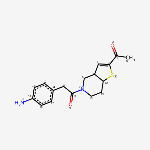 CC(=O)C1=CC2CN(C(=O)Cc3ccc(N)cc3)CCC2S1